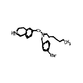 CCCCCCN(Cc1ccc(Br)cc1)Oc1ccc2c(c1)CCNC2